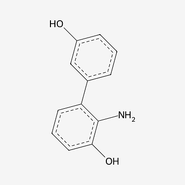 Nc1c(O)cccc1-c1cccc(O)c1